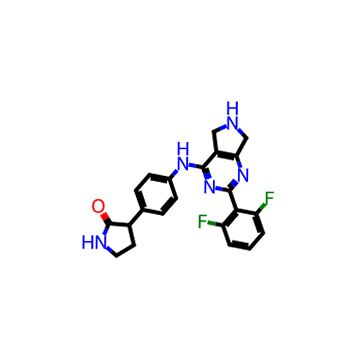 O=C1NCCC1c1ccc(Nc2nc(-c3c(F)cccc3F)nc3c2CNC3)cc1